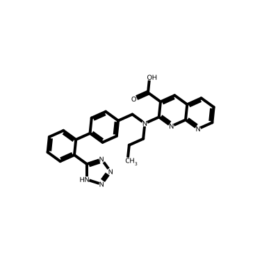 CCCN(Cc1ccc(-c2ccccc2-c2nnn[nH]2)cc1)c1nc2ncccc2cc1C(=O)O